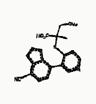 COCC(C)(Sc1ccncc1-c1ccc(C#N)c2cccn12)C(=O)O